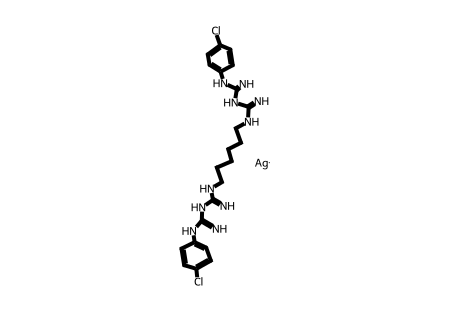 N=C(NCCCCCCNC(=N)NC(=N)Nc1ccc(Cl)cc1)NC(=N)Nc1ccc(Cl)cc1.[Ag]